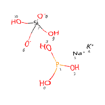 OP(O)O.[K+].[Na+].[O-][Si]([O-])(O)O